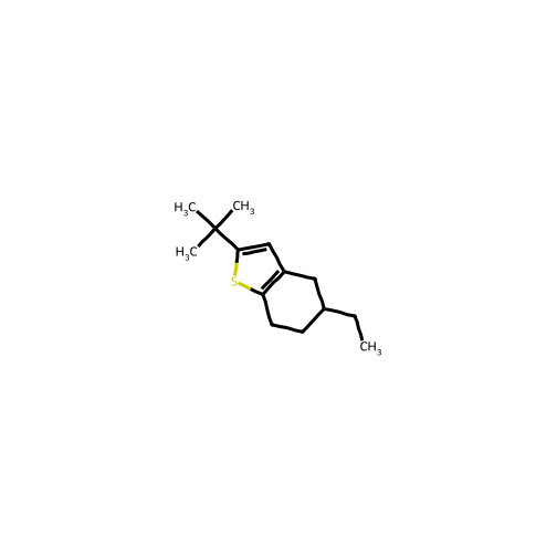 CCC1CCc2sc(C(C)(C)C)cc2C1